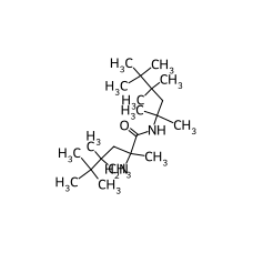 CC(C)(CC(C)(C)C(C)(C)C)NC(=O)C(C)(N)CC(C)(C)C(C)(C)C